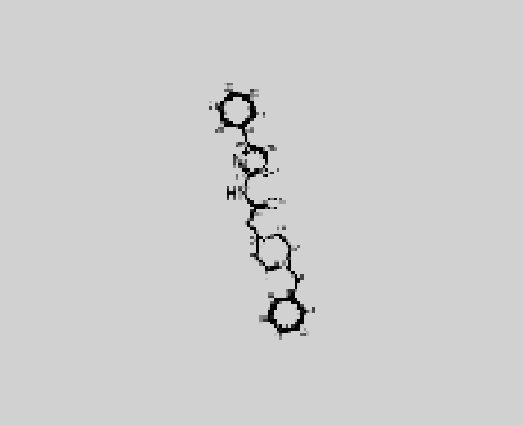 O=C(CN1CCN(Cc2ccccc2)CC1)Nc1nc(-c2ccccc2)cs1